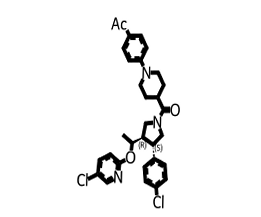 CC(=O)c1ccc(N2CCC(C(=O)N3C[C@H](c4ccc(Cl)cc4)[C@@H](C(C)Oc4ccc(Cl)cn4)C3)CC2)cc1